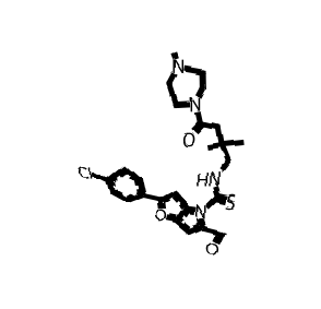 CN1CCN(C(=O)CC(C)(C)CNC(=S)n2c(C=O)cc3oc(-c4ccc(Cl)cc4)cc32)CC1